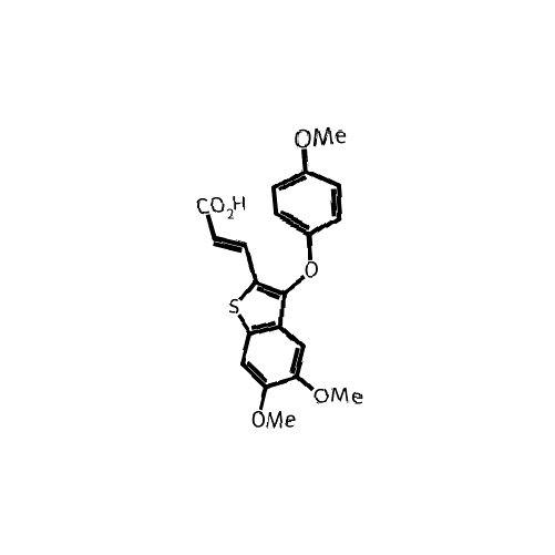 COc1ccc(Oc2c(/C=C/C(=O)O)sc3cc(OC)c(OC)cc23)cc1